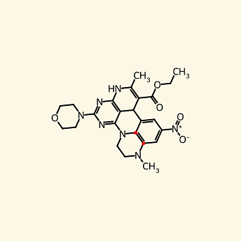 CCOC(=O)C1=C(C)Nc2nc(N3CCOCC3)nc(N3CCN(C)CC3)c2C1c1cccc([N+](=O)[O-])c1